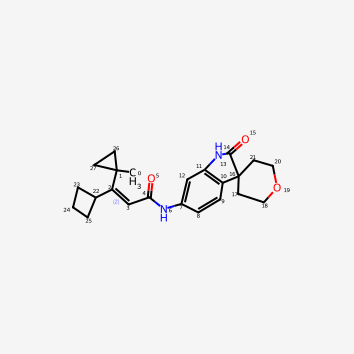 CC1(/C(=C\C(=O)Nc2ccc3c(c2)NC(=O)C32CCOCC2)C2CCC2)CC1